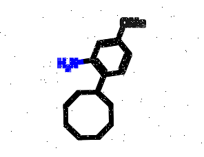 COc1ccc(C2CCCCCCC2)c(N)c1